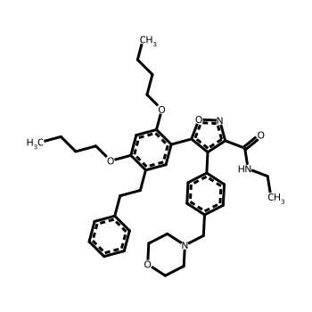 CCCCOc1cc(OCCCC)c(-c2onc(C(=O)NCC)c2-c2ccc(CN3CCOCC3)cc2)cc1CCc1ccccc1